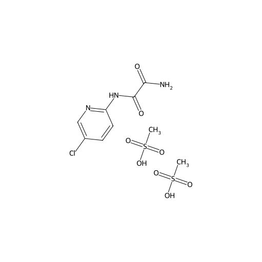 CS(=O)(=O)O.CS(=O)(=O)O.NC(=O)C(=O)Nc1ccc(Cl)cn1